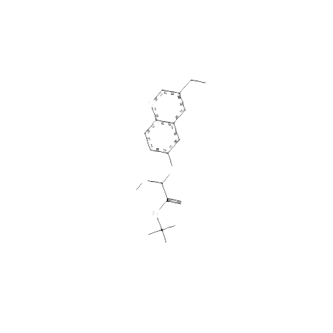 CSC(Oc1ccc2ncc(CF)cc2c1)C(=O)NC(C)(C)C